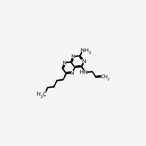 C=CCNc1nc(N)nc2ncc(CCCCC)nc12